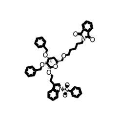 O=C1c2ccccc2C(=O)N1CCCCCOC[C@@H]1C[C@H](OCc2ccccc2)[C@@H](OCc2ccccc2)[C@@H](OCCc2cn(S(=O)(=O)c3ccccc3)c3ccccc23)O1